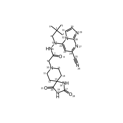 CC(C)(C)CN(NC(=O)CN1CCC2(CC1)NC(=O)NC2=O)c1cc(C#N)nc2nccn12